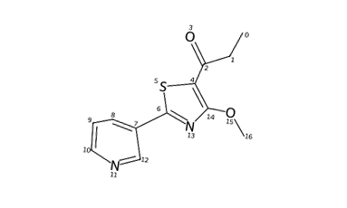 CCC(=O)c1sc(-c2cccnc2)nc1OC